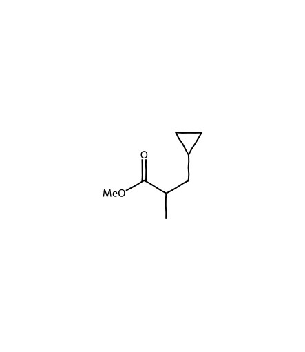 COC(=O)C(C)CC1CC1